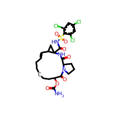 NC(=O)OC1CCCCC/C=C/C2CC2(C(=O)NS(=O)(=O)c2c(Cl)cc(Cl)cc2Cl)NC(=O)C2CCCN2C1=O